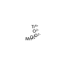 [Mn+2].[O-2].[O-2].[O-2].[Ti+4]